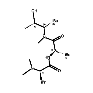 CC[C@@H](C)[C@H]([C@H](C)O)N(C)C(=O)[C@H](NC(=O)[C@@H](C(C)C)N(C)C)[C@@H](C)CC